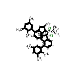 CCCC1=Cc2c(-c3cc(C)cc(C)c3C)cccc2[CH]1[Hf]([Cl])([Cl])([CH]1C(CCC)=Cc2c(-c3cc(C)cc(C)c3C)cccc21)[SiH](C)C